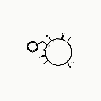 CC1CCC[C@](C)(O)CCCN(C)C(=O)C[C@H](O)[C@H](Cc2ccccc2)NC1=O